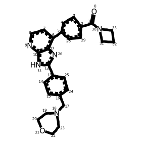 O=C(c1ccc(-c2ccnc3[nH]c(-c4ccc(CN5CCOCC5)cc4)nc23)cc1)N1CCC1